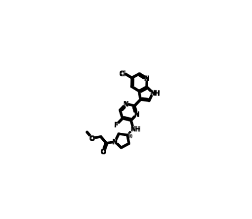 COCC(=O)N1CC[C@@H](Nc2nc(-c3c[nH]c4ncc(Cl)cc34)ncc2F)C1